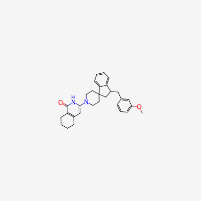 COc1cccc(CC2CC3(CCN(c4cc5c(c(=O)[nH]4)CCCC5)CC3)c3ccccc32)c1